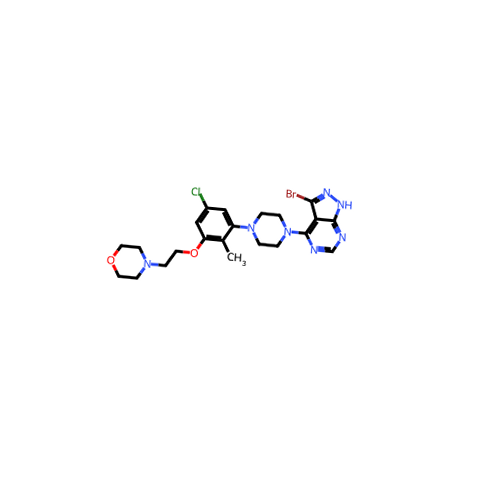 Cc1c(OCCN2CCOCC2)cc(Cl)cc1N1CCN(c2ncnc3[nH]nc(Br)c23)CC1